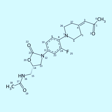 CC(=O)C=C1CCN(c2ccc(N3C[C@H](CNC(C)=O)OC3=O)cc2F)CC1